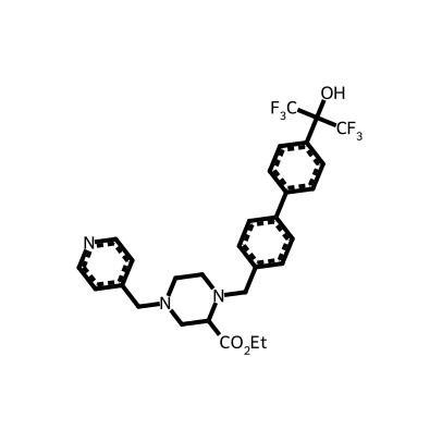 CCOC(=O)C1CN(Cc2ccncc2)CCN1Cc1ccc(-c2ccc(C(O)(C(F)(F)F)C(F)(F)F)cc2)cc1